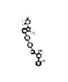 Cn1nc(N2CCC(=O)NC2=O)c2cccc(N3CCN(C4CCC(n5cc(-c6cc(-c7ccccc7O)nnc6N)cn5)CC4)CC3)c21